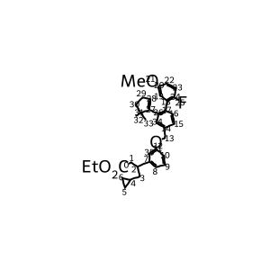 CCOC(=O)CC(CC1CC1)c1cccc(OCc2ccc(-c3cc(OC)ccc3F)c(C3=CCCC3(C)C)c2)c1